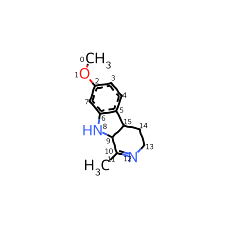 COc1ccc2c(c1)NC1C(C)=NCCC21